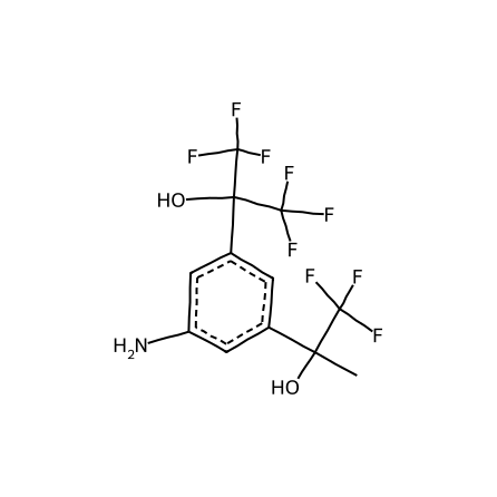 CC(O)(c1cc(N)cc(C(O)(C(F)(F)F)C(F)(F)F)c1)C(F)(F)F